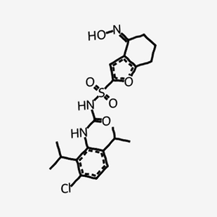 CC(C)c1ccc(Cl)c(C(C)C)c1NC(=O)NS(=O)(=O)c1cc2c(o1)CCC/C2=N/O